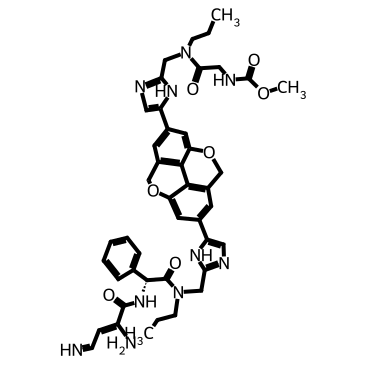 CCCN(Cc1ncc(-c2cc3c4c(c2)OCc2cc(-c5cnc(CN(CCC)C(=O)[C@H](NC(=O)/C(N)=C/C=N)c6ccccc6)[nH]5)cc(c2-4)OC3)[nH]1)C(=O)CNC(=O)OC